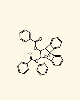 O=C(OC1C(OC(=O)c2ccccc2)[C@]2(c3ccccc3)c3ccccc3[C@@]23c2ccccc2C13)c1ccccc1